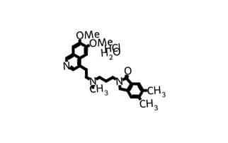 COc1cc2cncc(CCN(C)CCCN3Cc4cc(C)c(C)cc4C3=O)c2cc1OC.Cl.O